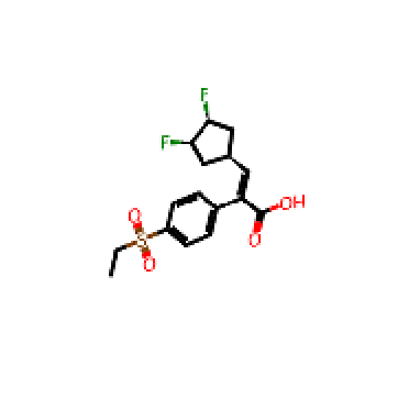 CCS(=O)(=O)c1ccc(/C(=C\[C@H]2C[C@@H](F)[C@@H](F)C2)C(=O)O)cc1